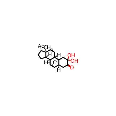 CC(=O)[C@H]1CC[C@H]2[C@@H]3CC[C@H]4CC(=O)C(O)(O)C[C@]4(C)[C@H]3CC[C@]12C